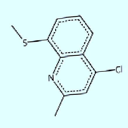 CSc1cccc2c(Cl)cc(C)nc12